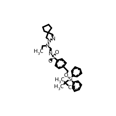 CCN(C=NS(=O)(=O)c1ccc(CO[Si](c2ccccc2)(c2ccccc2)C(C)(C)C)cc1)N1CC2(C=N1)CCCC2